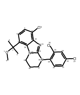 COC(C)(C)c1ccc(Cl)c2nc3n(c12)CCCN3c1ccc(Cl)cc1Cl